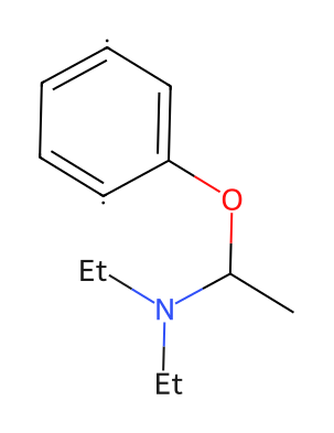 CCN(CC)C(C)Oc1[c]cc[c]c1